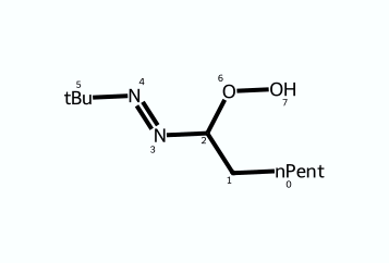 CCCCCCC(/N=N/C(C)(C)C)OO